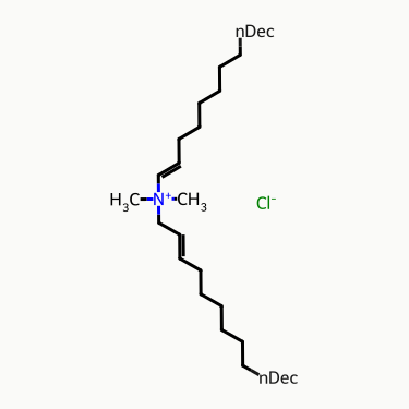 CCCCCCCCCCCCCCCCC=CC[N+](C)(C)C=CCCCCCCCCCCCCCCCC.[Cl-]